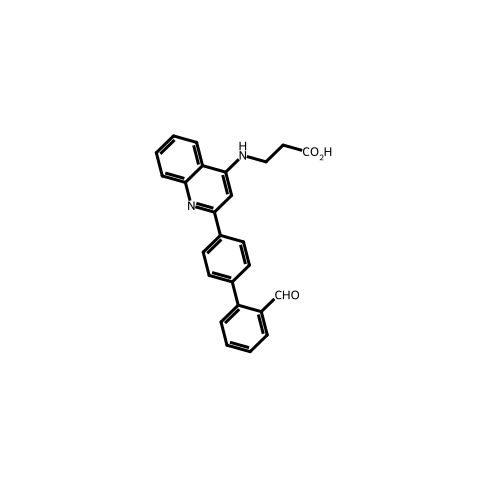 O=Cc1ccccc1-c1ccc(-c2cc(NCCC(=O)O)c3ccccc3n2)cc1